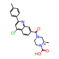 Cc1ccc(-c2cc(Cl)c3ccc(C(=O)N4CCN(C(=O)O)[C@H](C)C4)cc3n2)cc1